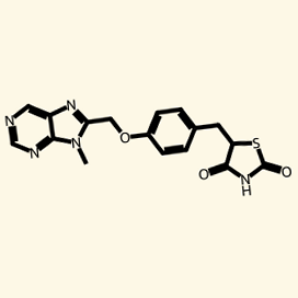 Cn1c(COc2ccc(CC3SC(=O)NC3=O)cc2)nc2cncnc21